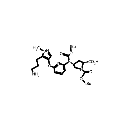 Cn1ncc(Oc2cccc(N(C(=O)OC(C)(C)C)[C@H]3C[C@@H](C(=O)O)N(C(=O)OC(C)(C)C)C3)n2)c1CCCN